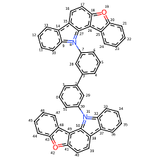 c1cc(-c2cccc(-n3c4ccccc4c4ccc5oc6ccccc6c5c43)c2)cc(-n2c3ccccc3c3ccc4oc5ccccc5c4c32)c1